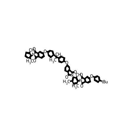 Cc1cccc(C)c1N1C(=O)c2ccc(Oc3ccc(C(C)(C)c4ccc(Oc5ccc6c(c5)C(=O)N(c5c(C)cc(C)c(N7C(=O)c8ccc(Oc9ccc(C(C)(C)C)cc9)cc8C7=O)c5C)C6=O)cc4)cc3)cc2C1=O